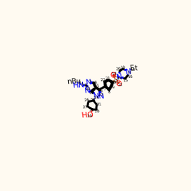 CCCCNc1ncc2c(-c3ccc(S(=O)(=O)N4CCN(CC)CC4)cc3)nn([C@H]3CC[C@H](O)CC3)c2n1